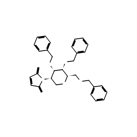 O=C1C=CC(=O)N1[C@@H]1CO[C@H](COCc2ccccc2)[C@H](OCc2ccccc2)[C@@H]1OCc1ccccc1